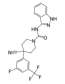 N#CC1(c2cc(F)cc(C(F)(F)F)c2)CCN(C(=O)Nc2n[nH]c3ccccc23)CC1